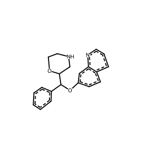 c1ccc(C(Oc2ccc3cccnc3c2)C2CNCCO2)cc1